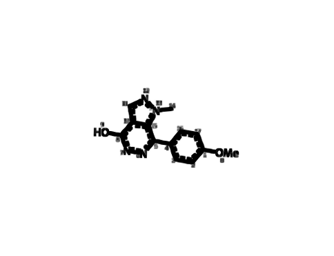 COc1ccc(-c2nnc(O)c3cnn(C)c23)cc1